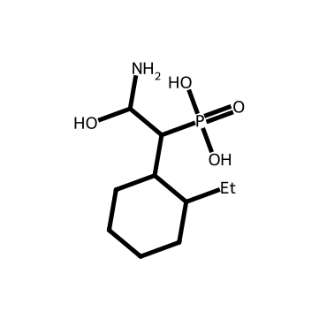 CCC1CCCCC1C(C(N)O)P(=O)(O)O